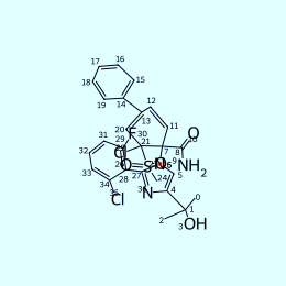 CC(C)(O)c1cn(C2(C(N)=O)C=CC(c3ccccc3)=CC2(Cl)S(C)(=O)=O)c(-c2c(F)cccc2Cl)n1